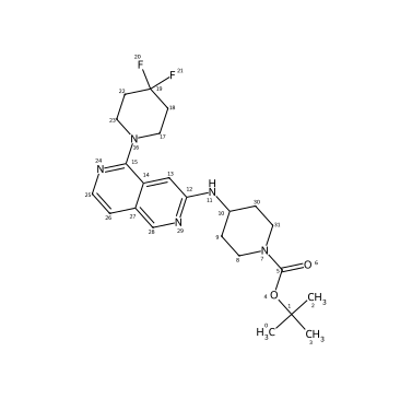 CC(C)(C)OC(=O)N1CCC(Nc2cc3c(N4CCC(F)(F)CC4)nccc3cn2)CC1